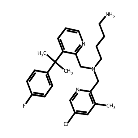 Cc1cc(Cl)cnc1CN(CCCCN)Cc1ncccc1C(C)(C)c1ccc(F)cc1